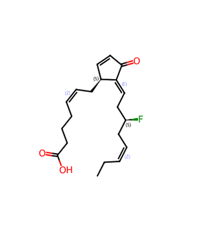 CC/C=C\C[C@H](F)C/C=C1/C(=O)C=C[C@@H]1C/C=C\CCCC(=O)O